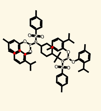 Cc1ccc(S(=O)(=O)N(C2CCC(C(C)(C)N(P(Oc3cc(C)ccc3C(C)C)Oc3cc(C)ccc3C(C)C)S(=O)(=O)c3ccc(C)cc3)CC2)P(Oc2cc(C)ccc2C(C)C)Oc2cc(C)ccc2C(C)C)cc1